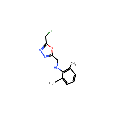 Cc1cccc(C)c1NCc1nnc(CCl)o1